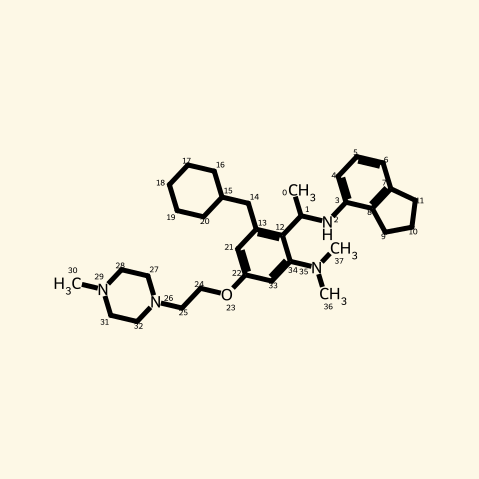 CC(Nc1cccc2c1CCC2)c1c(CC2CCCCC2)cc(OCCN2CCN(C)CC2)cc1N(C)C